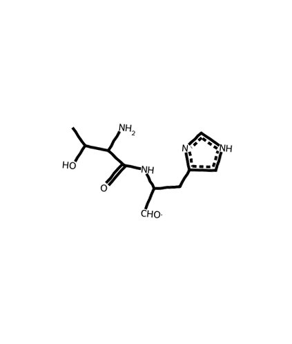 CC(O)C(N)C(=O)NC([C]=O)Cc1c[nH]cn1